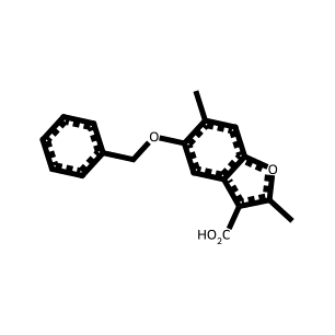 Cc1cc2oc(C)c(C(=O)O)c2cc1OCc1ccccc1